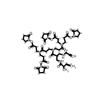 C#CC(=O)NCC(CNC(=O)C(C)C=C)C(=O)N(CCC(=O)N(CCC(=O)ON1CCCC1=O)CCC(=O)ON1C(=O)CCC1=O)CCC(=O)N(CCC(=O)ON1CCCC1=O)CCC(=O)ON1C(=O)CCC1=O